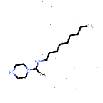 CCCCCCCCCNC(C)N1CCNCC1